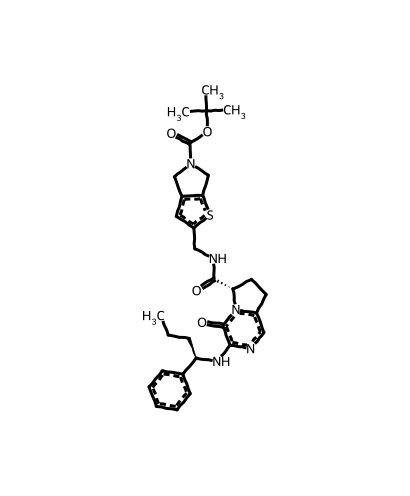 CCC[C@@H](Nc1ncc2n(c1=O)[C@H](C(=O)NCc1cc3c(s1)CN(C(=O)OC(C)(C)C)C3)CC2)c1ccccc1